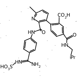 CS(=O)(=O)O.Cc1ccc(-c2ccc(C(=O)NCC(C)C)cc2C(=O)O)c(C(=O)Nc2ccc(C(=N)N)cc2)n1